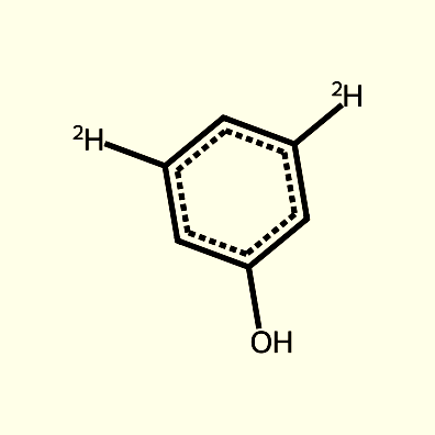 [2H]c1cc([2H])cc(O)c1